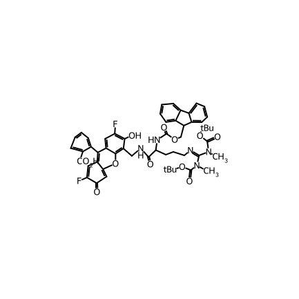 CN(C(=O)OC(C)(C)C)C(=NCCCC(NC(=O)OCC1c2ccccc2-c2ccccc21)C(=O)NCc1c(O)c(F)cc2c(-c3ccccc3C(=O)O)c3cc(F)c(=O)cc-3oc12)N(C)C(=O)OC(C)(C)C